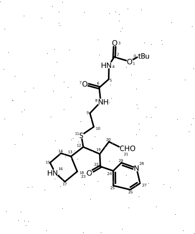 CC(C)(C)OC(=O)NCC(=O)NCCSC(C1CCNCC1)C(CC=O)C(=O)c1cccnc1